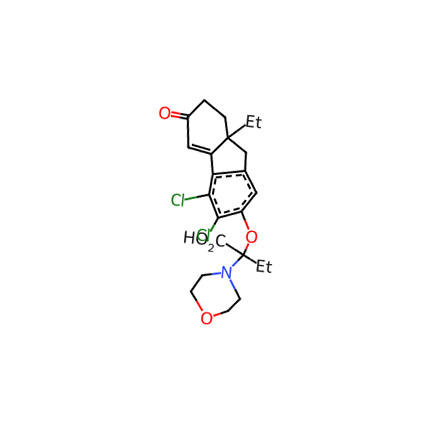 CCC12CCC(=O)C=C1c1c(cc(OC(CC)(C(=O)O)N3CCOCC3)c(Cl)c1Cl)C2